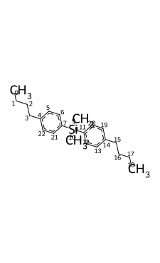 CCCCc1ccc([Si](C)(C)c2ccc(CCCC)cc2)cc1